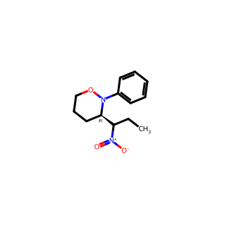 CCC([C@H]1CCCON1c1ccccc1)[N+](=O)[O-]